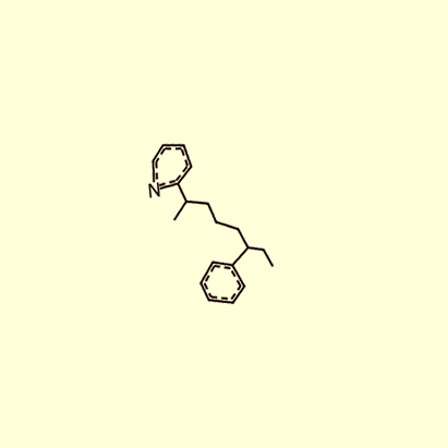 CCC(CCCC(C)c1ccccn1)c1ccccc1